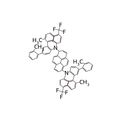 Cc1ccccc1-c1ccc(N(C2=C3C=CC4=C5C(=CC=C(C=C2)C35)C(N(c2ccc(C(F)(F)F)cc2)c2ccc(-c3ccccc3C)cc2-c2ccccc2C)C=C4)c2ccc(C(F)(F)F)cc2)c(-c2ccccc2C)c1